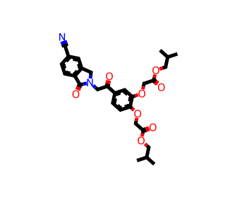 CC(C)COC(=O)COc1ccc(C(=O)CN2Cc3cc(C#N)ccc3C2=O)cc1OCC(=O)OCC(C)C